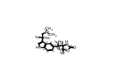 [2H]C([2H])(CN(C)C)c1c[nH]c2ccc(C([2H])([2H])[C@]3([2H])NC(=O)OC3([2H])[2H])cc12